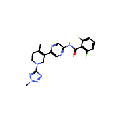 CC1=C(c2cnc(NC(=O)c3c(F)cccc3F)cn2)CN(c2nnn(C)n2)CC1